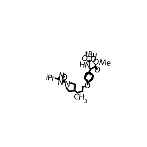 COC(=O)C(NC(=O)OC(C)(C)C)c1ccc(OCC[C@@H](C)C2CCN(c3nc(C(C)C)no3)CC2)cc1